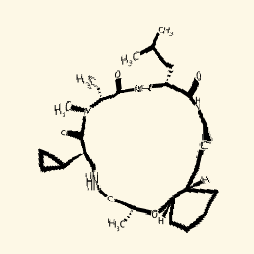 CC(C)C[C@H]1NC(=O)[C@@H](C)N(C)C(=O)[C@H](C2CC2)NC[C@@H](C)O[C@H]2CCCC[C@H]2CCCNC1=O